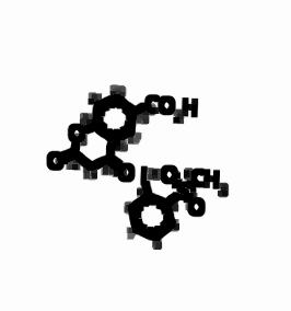 CS(=O)(=O)c1ccccc1I.O=C1CC(=O)c2cc(C(=O)O)ccc2O1